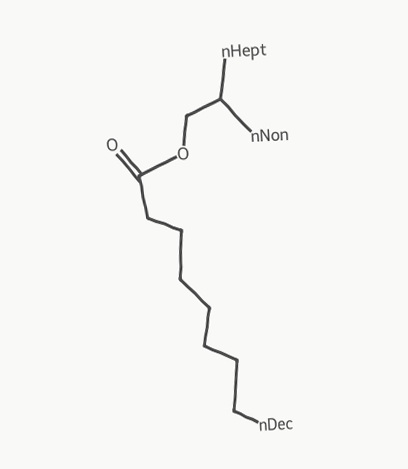 CCCCCCCCCCCCCCCCCC(=O)OCC(CCCCCCC)CCCCCCCCC